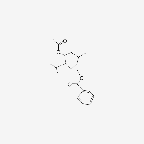 CC(=O)OC1CC(C)CCC1C(C)C.COC(=O)c1ccccc1